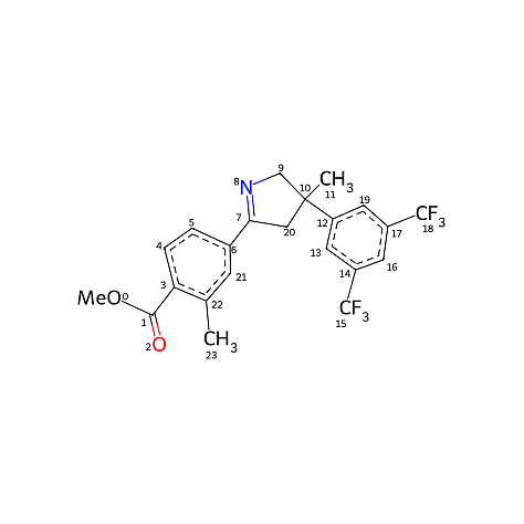 COC(=O)c1ccc(C2=NCC(C)(c3cc(C(F)(F)F)cc(C(F)(F)F)c3)C2)cc1C